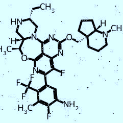 CC[C@@H]1CN2c3nc(OC[C@]45CCC[C@@H]4N(C)CCC5)nc4c(F)c(-c5cc(N)c(F)c(C)c5C(F)(F)F)nc(c34)O[C@@H](C)[C@@H]2CN1